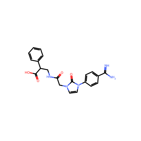 N=C(N)c1ccc(-n2ccn(CC(=O)NCC(C(=O)O)c3ccccc3)c2=O)cc1